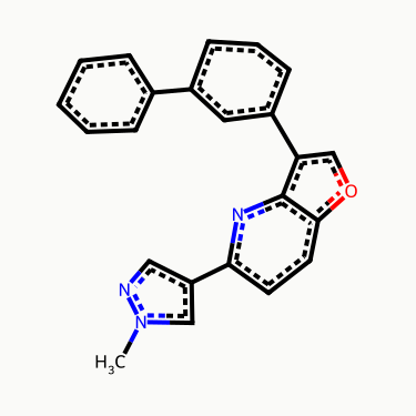 Cn1cc(-c2ccc3occ(-c4cccc(-c5ccccc5)c4)c3n2)cn1